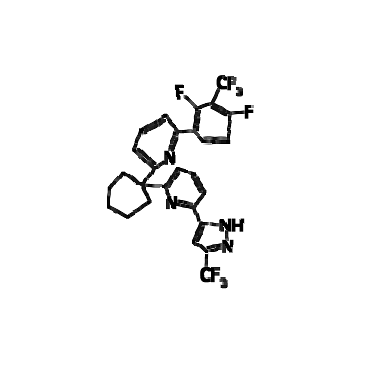 Fc1ccc(-c2cccc(C3(c4cccc(-c5cc(C(F)(F)F)n[nH]5)n4)CCCCC3)n2)c(F)c1C(F)(F)F